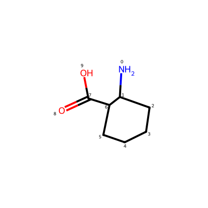 NC1CCCCC1C(=O)O